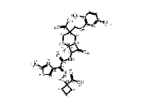 C[n+]1ccc(N)nc1SCC1(C(=O)[O-])CS[C@@H]2C(NC(=O)C(=NOC3(C(=O)O)CCC3)c3csc(N)n3)C(=O)N2C1